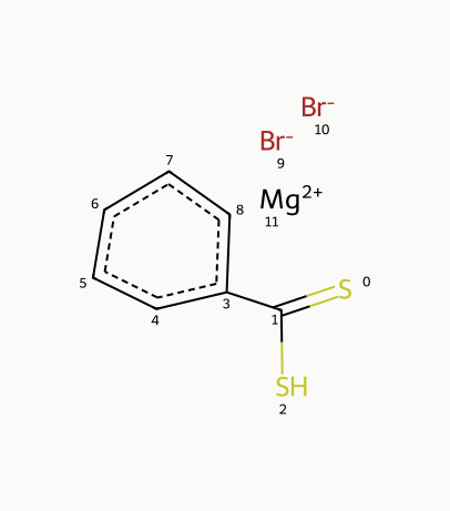 S=C(S)c1ccccc1.[Br-].[Br-].[Mg+2]